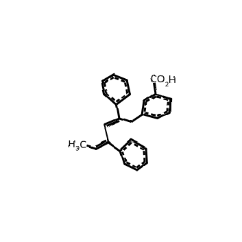 C/C=C(\C=C(/Cc1cccc(C(=O)O)c1)c1ccccc1)c1ccccc1